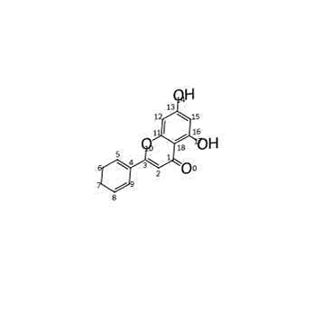 O=c1cc(C2=CCCC=C2)oc2cc(O)cc(O)c12